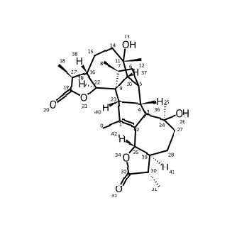 CC1=C2C([C@H]3C4C[C@H](C)[C@]5([C@@H]4[C@@](C)(O)CC[C@H]4[C@H](C)C(=O)O[C@@H]45)[C@@H]13)[C@@](C)(O)CC[C@H]1[C@H](C)C(=O)O[C@H]21